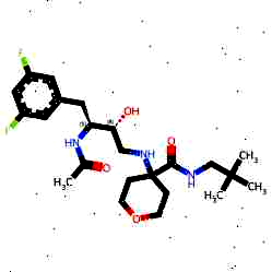 CC(=O)N[C@@H](Cc1cc(F)cc(F)c1)[C@H](O)CNC1(C(=O)NCC(C)(C)C)CCOCC1